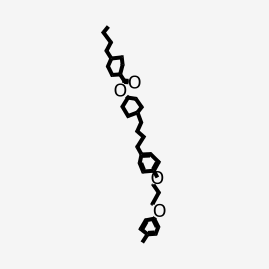 CCCCC1CCC(C(=O)OC2CCC(CCCCc3ccc(OCCCOc4ccc(C)cc4)cc3)CC2)CC1